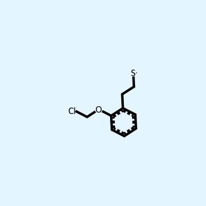 [S]CCc1ccccc1OCCl